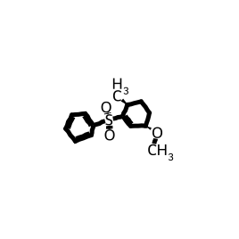 CO[C@@H]1C=C(S(=O)(=O)c2ccccc2)[C@@H](C)CC1